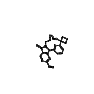 C=CCn1c(=O)c2cnc(SC)nc2n1-c1cccc(C2(OC)COC2)n1